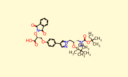 CC(C)(C)OC(=O)NC[C@@H](Cn1cc(-c2ccc(OC[C@H](ON3C(=O)c4ccccc4C3=O)C(=O)O)cc2)cn1)O[Si](C)(C)C(C)(C)C